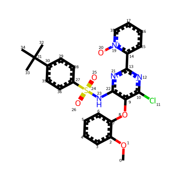 COc1ccccc1Oc1c(Cl)nc(-c2cccc[n+]2[O-])nc1NS(=O)(=O)c1ccc(C(C)(C)C)cc1